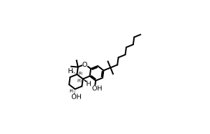 CCCCCCCC(C)(C)c1cc(O)c2c(c1)OC(C)(C)[C@@H]1CC[C@@H](O)C[C@@H]21